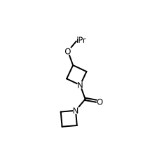 CC(C)OC1CN(C(=O)N2CCC2)C1